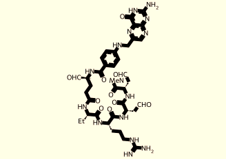 CC[C@H](NC(=O)CC[C@@H](C=O)NC(=O)c1ccc(NCc2cnc3nc(N)[nH]c(=O)c3n2)cc1)C(=O)N[C@@H](CCCNC(=N)N)C(=O)N[C@@H](CC=O)C(=O)N[C@@H](CC=O)C(=O)NC